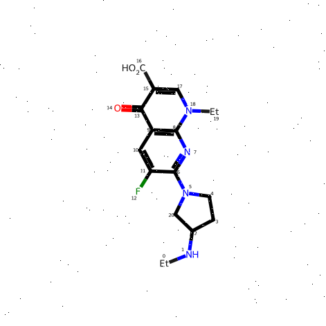 CCNC1CCN(c2nc3c(cc2F)c(=O)c(C(=O)O)cn3CC)C1